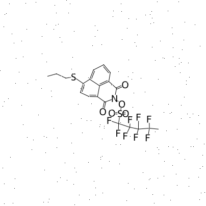 CCCSc1ccc2c3c(cccc13)C(=O)N(OS(=O)(=O)C(F)(F)C(F)(F)C(F)(F)C(C)(F)F)C2=O